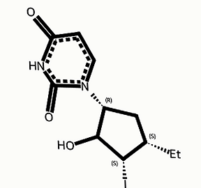 CC[C@H]1C[C@@H](n2ccc(=O)[nH]c2=O)C(O)[C@H]1I